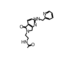 CC(=O)NCCN1Cc2nc(NCc3ccccn3)ccc2C1=O